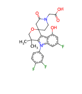 CC1(C)COC2(CCN(CC(=O)O)C(=O)C2)c2c1n(-c1ccc(F)c(F)c1)c1cc(F)cc(O)c21